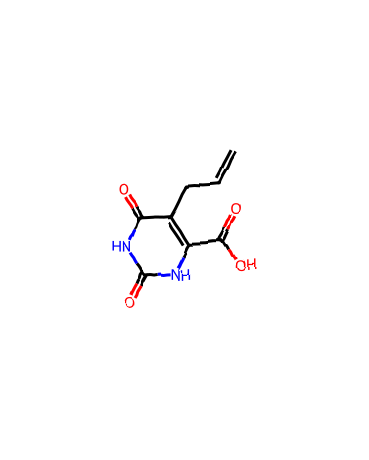 C=CCc1c(C(=O)O)[nH]c(=O)[nH]c1=O